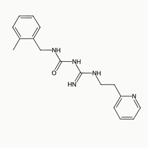 Cc1ccccc1CNC(=O)NC(=N)NCCc1ccccn1